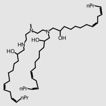 CCC/C=C\C/C=C\CCCCCC(O)CNCCN(C)CCN(CC(O)CCCCC/C=C\C/C=C\CCC)CC(O)CCCCC/C=C\C/C=C\CCC